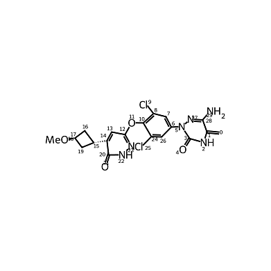 C=C1NC(=O)N(c2cc(Cl)c(Oc3cc([C@H]4C[C@H](OC)C4)c(=O)[nH]n3)c(Cl)c2)N=C1N